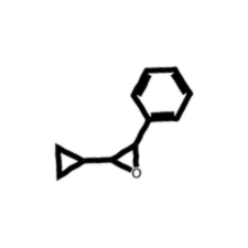 c1ccc(C2OC2C2CC2)cc1